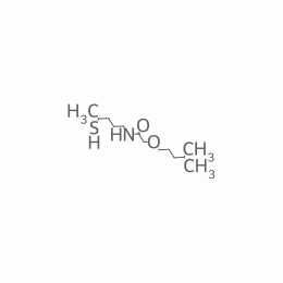 CC(C)CCCOCC(=O)NCCCC(C)S